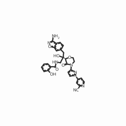 N#Cc1cc(-n2ccc(N3CCO[C@H](C(O)(CNC(=O)c4ccccc4O)Cc4ccc5c(N)noc5c4)C3=O)n2)ccn1